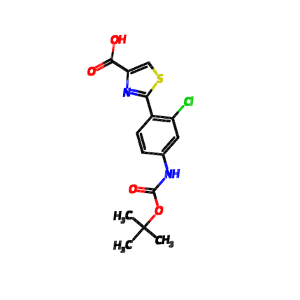 CC(C)(C)OC(=O)Nc1ccc(-c2nc(C(=O)O)cs2)c(Cl)c1